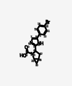 O=C(O)N1C(c2ncc(-c3ccc(Br)cc3)[nH]2)CC2CC21